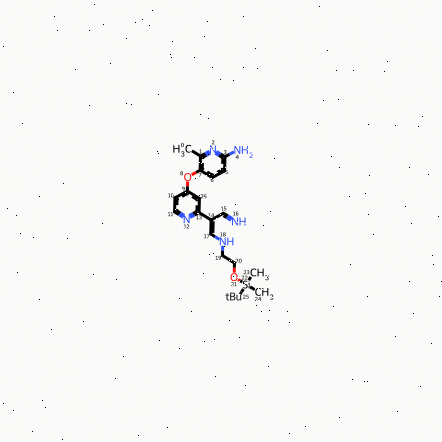 Cc1nc(N)ccc1Oc1ccnc(/C(C=N)=C/NCCO[Si](C)(C)C(C)(C)C)c1